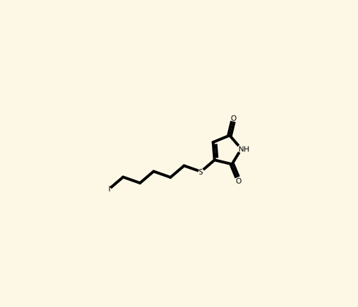 O=C1C=C(SCCCCCI)C(=O)N1